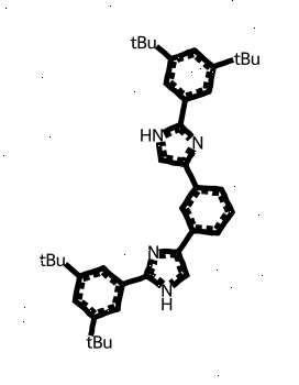 CC(C)(C)c1cc(-c2nc(-c3cccc(-c4c[nH]c(-c5cc(C(C)(C)C)cc(C(C)(C)C)c5)n4)c3)c[nH]2)cc(C(C)(C)C)c1